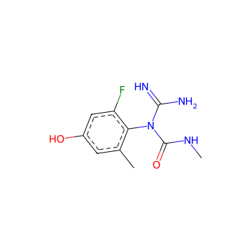 CNC(=O)N(C(=N)N)c1c(C)cc(O)cc1F